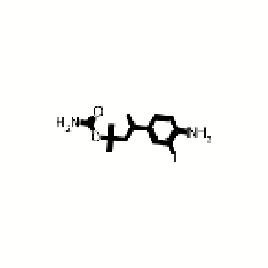 CC(CC(C)(C)OC(N)=O)c1ccc(N)c(I)c1